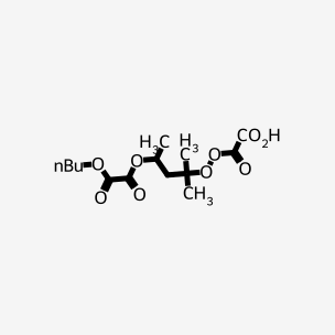 CCCCOC(=O)C(=O)OC(C)CC(C)(C)OOC(=O)C(=O)O